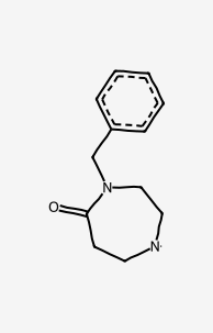 O=C1CC[N]CCN1Cc1ccccc1